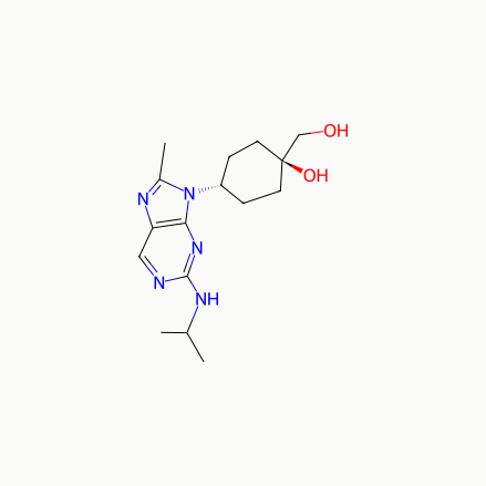 Cc1nc2cnc(NC(C)C)nc2n1[C@H]1CC[C@@](O)(CO)CC1